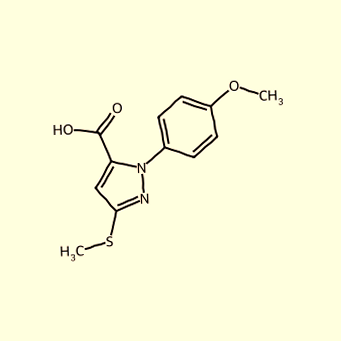 COc1ccc(-n2nc(SC)cc2C(=O)O)cc1